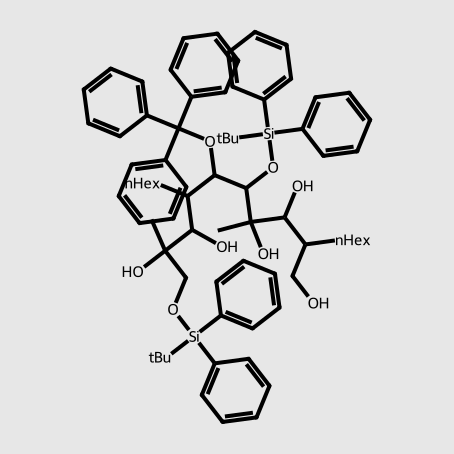 CCCCCCC(CO)C(O)C(C)(O)C(O[Si](c1ccccc1)(c1ccccc1)C(C)(C)C)C(OC(c1ccccc1)(c1ccccc1)c1ccccc1)C(CCCCCC)C(O)C(C)(O)CO[Si](c1ccccc1)(c1ccccc1)C(C)(C)C